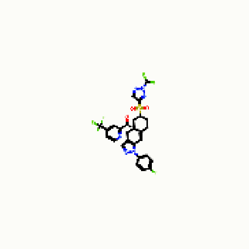 O=C(c1cc(C(F)(F)F)ccn1)[C@]12Cc3cnn(-c4ccc(F)cc4)c3C=C1CC[C@H](S(=O)(=O)c1cnn(C(F)F)n1)C2